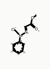 COC(=O)C=NN(Cl)c1ccccc1